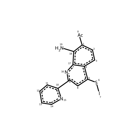 CC(=O)c1ccc2c(SI)cc(-c3ccccn3)nc2c1N